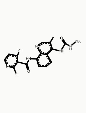 CCCCNC(=O)Nc1c(C)cnc2c(NC(=O)c3c(Cl)ccnc3Cl)cccc12